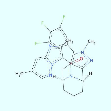 Cc1cnn2c(C(=O)N3[C@H]4CCC[C@@H]3c3nn(C)c(-c5cc(F)c(F)c(F)c5)c3C4)c(C)nc2c1